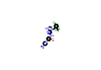 COc1cc(N2CCC(N(C)C)CC2)ccc1Nc1cc2c(nn1)NCCN2Cc1cc(Cl)ccc1C(F)(F)F